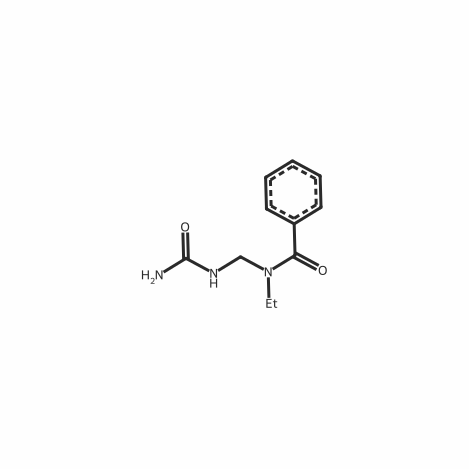 CCN(CNC(N)=O)C(=O)c1ccccc1